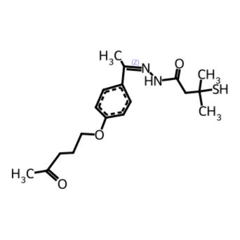 CC(=O)CCCOc1ccc(/C(C)=N\NC(=O)CC(C)(C)S)cc1